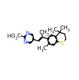 CC(=Cc1cnc(C(=O)O)nc1)c1cc2c(cc1C)SCCC2(C)C